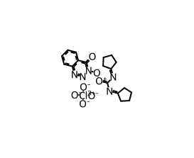 O=c1c2ccccc2nnn1O[O+]=C(N=C1CCCC1)N=C1CCCC1.[O-][Cl+3]([O-])([O-])[O-]